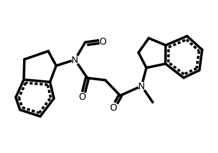 CN(C(=O)CC(=O)N(C=O)C1CCc2ccccc21)C1CCc2ccccc21